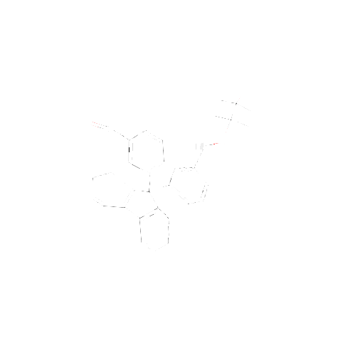 CC(C)(O)C(C)(C)OBc1cccc(C2(c3cccc(B=O)c3)C3=C(C=CCC3)C3=C2CCC=C3)c1